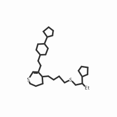 CCC(CSCCCCC1CCCSC=C1CCC1CCC(C2CCCC2)CC1)C1CCCC1